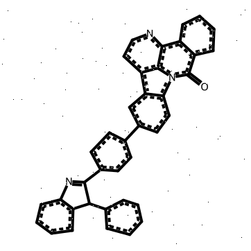 O=c1c2ccccc2c2nccc3c4cc(-c5ccc(C6=Nc7ccccc7C6c6ccccc6)cc5)ccc4n1c32